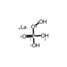 O=P(O)(O)OO.[La]